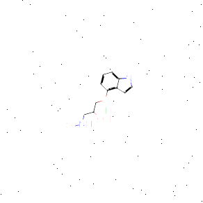 CC(C)NCC(O)COc1cccc2[nH]ccc12.Cl